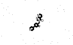 O=c1c2cccnc2ncn1Cc1ccc(-c2ccncc2)cc1F